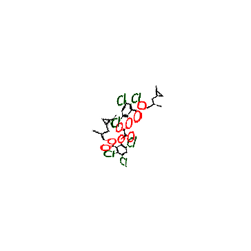 CC(COC(=O)c1c(Cl)c(Cl)cc(Cl)c1OC(=O)C(=O)Oc1c(Cl)cc(Cl)c(Cl)c1C(=O)OCC(C)CC1CC1C)CC1CC1C